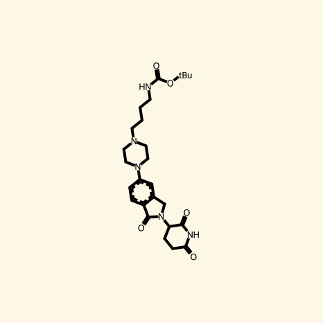 CC(C)(C)OC(=O)NCCCCN1CCN(c2ccc3c(c2)CN(C2CCC(=O)NC2=O)C3=O)CC1